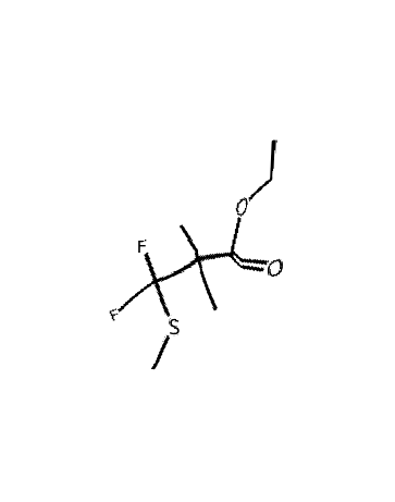 CCOC(=O)C(C)(C)C(F)(F)SC